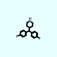 Fc1ccc(C(c2ccc(F)cc2)C2CCNCC2)cc1